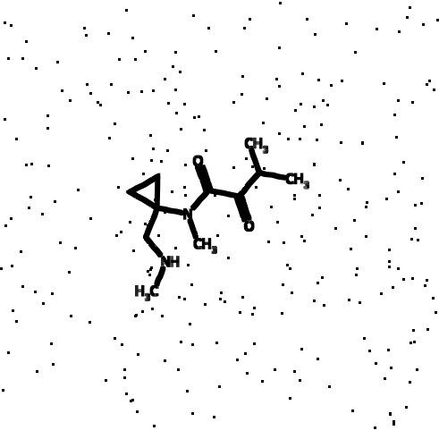 CNCC1(N(C)C(=O)C(=O)C(C)C)CC1